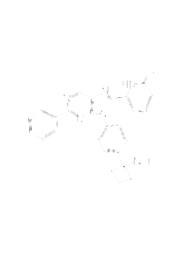 NC1(c2ccc(-n3c(-c4cccc(=O)[nH]4)nc4cnc(-c5ccccc5)nc43)cc2)CCC1